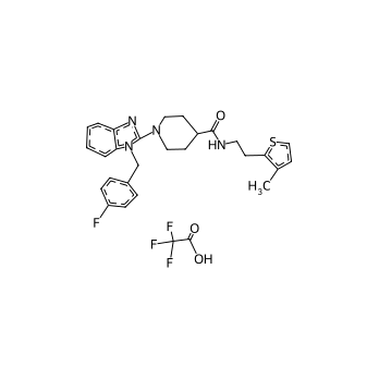 Cc1ccsc1CCNC(=O)C1CCN(c2nc3ccccc3n2Cc2ccc(F)cc2)CC1.O=C(O)C(F)(F)F